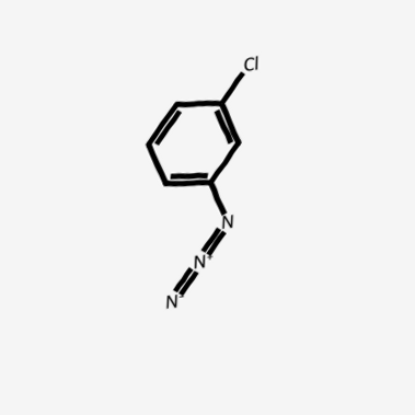 [N-]=[N+]=Nc1cccc(Cl)c1